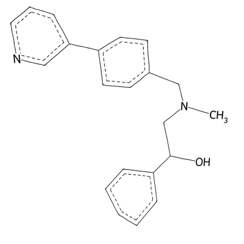 CN(Cc1ccc(-c2cccnc2)cc1)CC(O)c1ccccc1